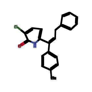 CC(C)(C)c1ccc(C(=CCc2ccccc2)c2ccc(Cl)c(=O)[nH]2)cc1